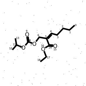 CCCCC=C(COC(=O)OC(C)C)C(=O)OCC